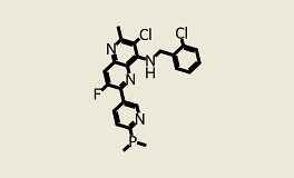 Cc1nc2cc(F)c(-c3ccc(P(C)C)nc3)nc2c(NCc2ccccc2Cl)c1Cl